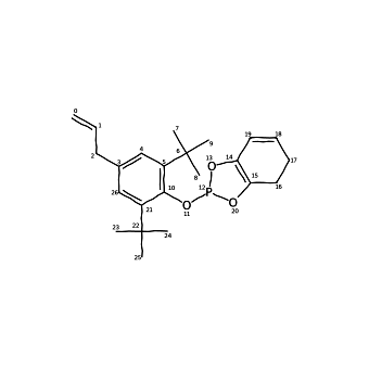 C=CCc1cc(C(C)(C)C)c(OP2OC3=C(CCC=C3)O2)c(C(C)(C)C)c1